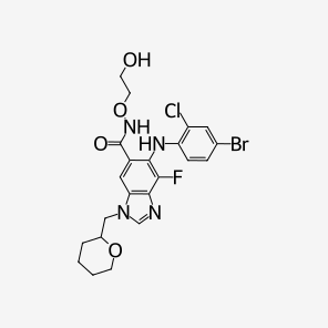 O=C(NOCCO)c1cc2c(ncn2CC2CCCCO2)c(F)c1Nc1ccc(Br)cc1Cl